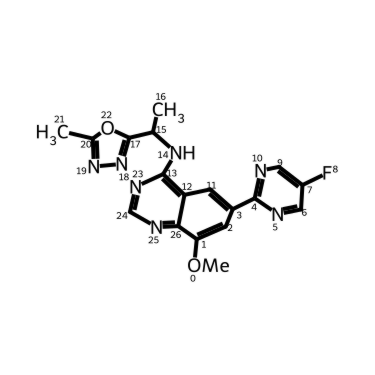 COc1cc(-c2ncc(F)cn2)cc2c(NC(C)c3nnc(C)o3)ncnc12